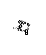 Cn1nc2cc1CSc1cc(c3ccccc3c1)OCCCc1c(C(O)O)n(C)c3c(c(Cl)ccc13)-c1c(nc3n1CCC3)CSC2